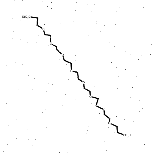 CCOC(=O)CCOCCOCCOCCOCCOCCOCCOCCOCCC(=O)O